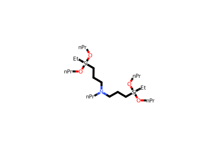 CCCO[Si](CC)(CCCN(CCC)CCC[Si](CC)(OCCC)OCCC)OCCC